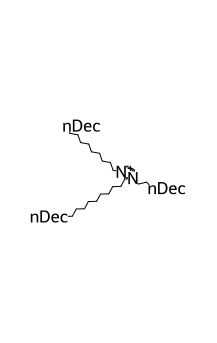 CCCCCCCCCCCCCCCCCCCc1n(CCCCCCCCCCCC)cc[n+]1CCCCCCCCCCCCCCCCCCC